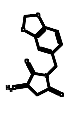 C=C1CC(=O)N(Cc2ccc3c(c2)OCO3)C1=O